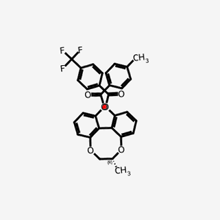 Cc1ccc(C(=O)Oc2cccc3c2-c2c(OC(=O)c4ccc(C(F)(F)F)cc4)cccc2O[C@H](C)CO3)cc1